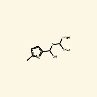 CCCCCCCC(CCCCCC)OC(O)c1ccc(C)o1